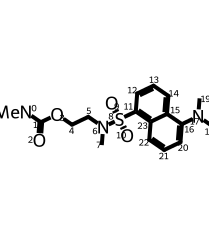 CNC(=O)OCCN(C)S(=O)(=O)c1cccc2c(N(C)C)cccc12